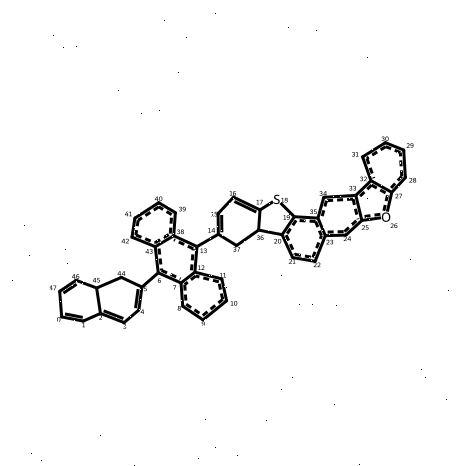 C1=CC2=CC=C(c3c4ccccc4c(C4=CC=C5Sc6c(ccc7cc8oc9ccccc9c8cc67)C5C4)c4ccccc34)CC2C=C1